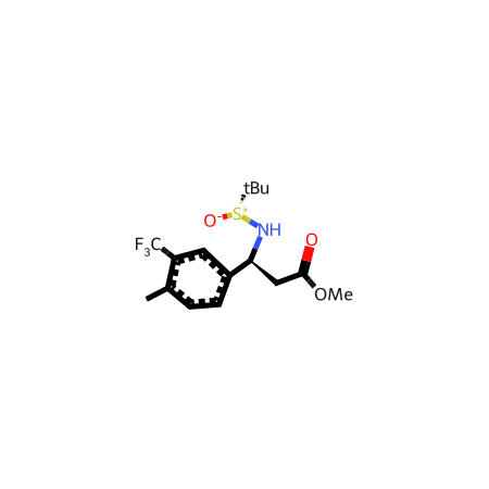 COC(=O)C[C@H](N[S@+]([O-])C(C)(C)C)c1ccc(C)c(C(F)(F)F)c1